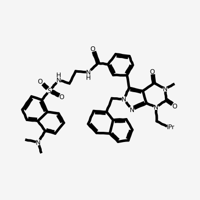 CC(C)Cn1c(=O)n(C)c(=O)c2c(-c3cccc(C(=O)NCCNS(=O)(=O)c4cccc5c(N(C)C)cccc45)c3)n(Cc3cccc4ccccc34)nc21